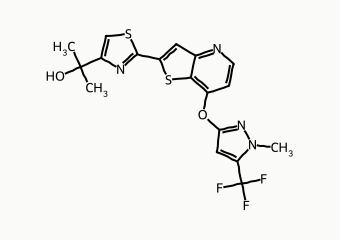 Cn1nc(Oc2ccnc3cc(-c4nc(C(C)(C)O)cs4)sc23)cc1C(F)(F)F